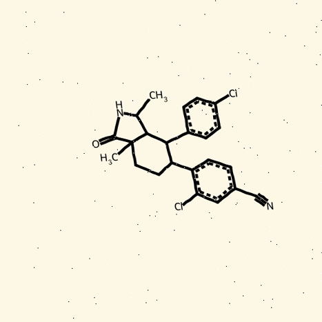 CC1NC(=O)C2(C)CCC(c3ccc(C#N)cc3Cl)C(c3ccc(Cl)cc3)C12